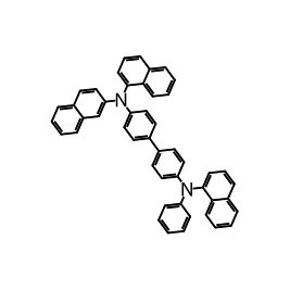 c1ccc(N(c2ccc(-c3ccc(N(c4ccc5ccccc5c4)c4cccc5ccccc45)cc3)cc2)c2cccc3ccccc23)cc1